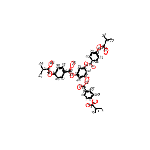 CC(C)C(=O)Oc1ccc(C(=O)Oc2cc(OC(=O)c3ccc(OC(=O)C(C)C)cc3)cc(OC(=O)c3ccc(OC(=O)C(C)C)cc3)c2)cc1